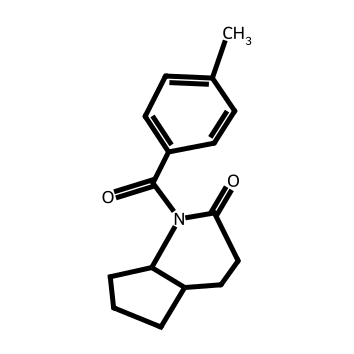 Cc1ccc(C(=O)N2C(=O)CCC3CCCC32)cc1